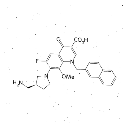 COc1c(N2CC[C@@H](CN)C2)c(F)cc2c(=O)c(C(=O)O)cn(Cc3ccc4ccccc4c3)c12